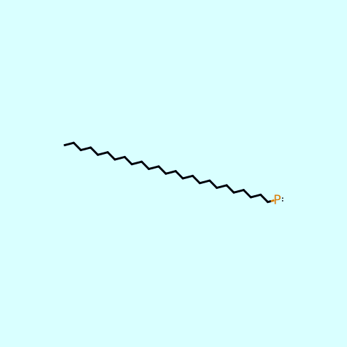 CCCCCCCCCCCCCCCCCCCCCCCCC[P]